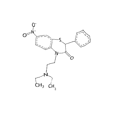 CCN(CC)CCN1C(=O)C(c2ccccc2)Sc2cc([N+](=O)[O-])ccc21